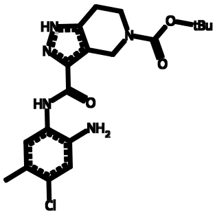 Cc1cc(NC(=O)c2n[nH]c3c2CN(C(=O)OC(C)(C)C)CC3)c(N)cc1Cl